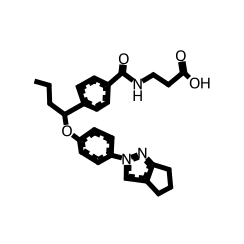 CCCC(Oc1ccc(-n2cc3c(n2)CCC3)cc1)c1ccc(C(=O)NCCC(=O)O)cc1